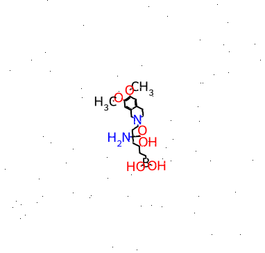 COc1cc2c(cc1OC)CN(CCC(N)(CCCCB(O)O)C(=O)O)CC2